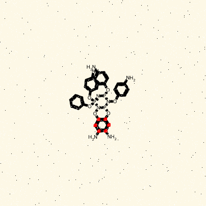 Nc1ccc(ON2P(Oc3ccc(N)cc3)N=P(Oc3ccccc3)(Oc3ccc(N)cc3)N(Oc3ccc(N)cc3)P2Oc2ccc(N)cc2)cc1